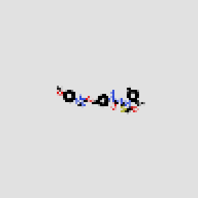 Cc1ccc(C(C)C)c(N2C(=O)CS/C2=N\C(=O)Nc2ccc(COc3ncn(-c4ccc(OC(F)(F)F)cc4)n3)cc2)c1